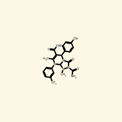 COC(=O)C1=C(C)N(c2cccc(C(F)(F)F)c2)C2N(C(=O)N(C(N)=O)N2C)C1c1ccc(C#N)cc1